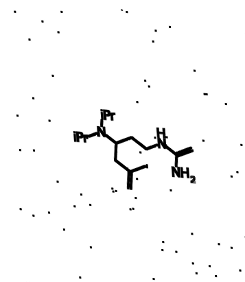 C=C(C)CC(CCNC(=C)N)N(C(C)C)C(C)C